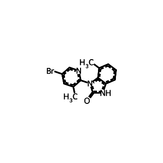 Cc1cc(Br)cnc1-n1c(=O)[nH]c2cccc(C)c21